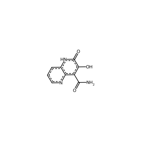 NC(=O)c1c(O)c(=O)[nH]c2cccnc12